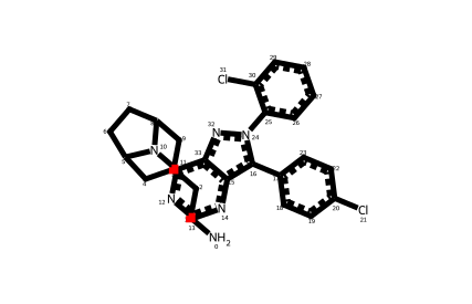 NCCC1CC2CCC(C1)N2c1ncnc2c(-c3ccc(Cl)cc3)n(-c3ccccc3Cl)nc12